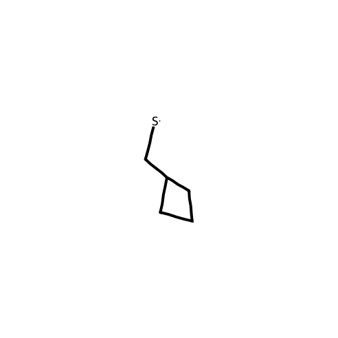 [S]CC1CCC1